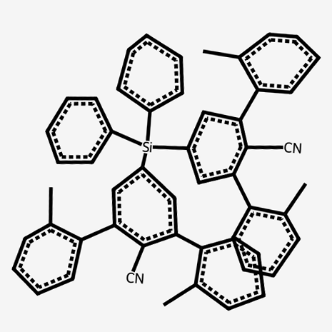 Cc1ccccc1-c1cc([Si](c2ccccc2)(c2ccccc2)c2cc(-c3ccccc3C)c(C#N)c(-c3ccccc3C)c2)cc(-c2ccccc2C)c1C#N